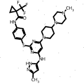 Cc1cc(Nc2cc(N3CCC(N4CCN(C)CC4)CC3)nc(Sc3ccc(NC(=O)C4(C(F)(F)F)CC4)cc3)n2)[nH]n1